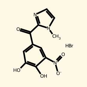 Br.Cn1ccnc1C(=O)c1cc(O)c(O)c([N+](=O)[O-])c1